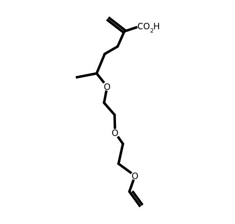 C=COCCOCCOC(C)CCC(=C)C(=O)O